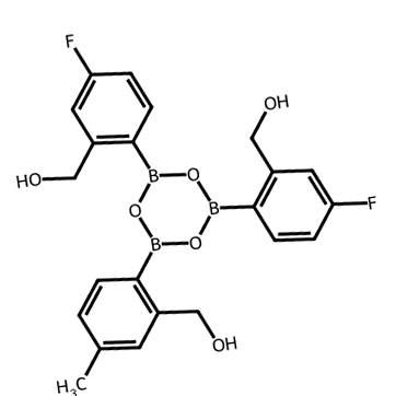 Cc1ccc(B2OB(c3ccc(F)cc3CO)OB(c3ccc(F)cc3CO)O2)c(CO)c1